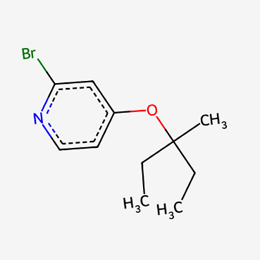 CCC(C)(CC)Oc1ccnc(Br)c1